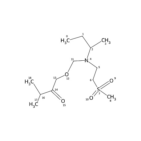 CCC(C)N(CCS(C)(=O)=O)COCC(=O)C(C)C